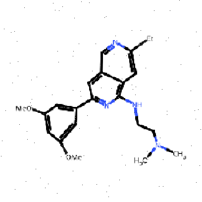 CCc1cc2c(NCCN(C)C)nc(-c3cc(OC)cc(OC)c3)cc2cn1